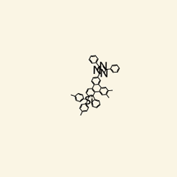 Cc1ccc([Si]2(c3ccc(C)cc3)c3ccccc3-c3c2ccc2c4ccc(-c5nc(-c6ccccc6)nc(-c6ccccc6)n5)cc4c4cc(C)c(C)cc4c32)cc1